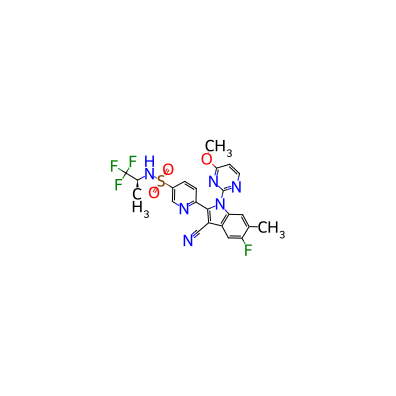 COc1ccnc(-n2c(-c3ccc(S(=O)(=O)N[C@@H](C)C(F)(F)F)cn3)c(C#N)c3cc(F)c(C)cc32)n1